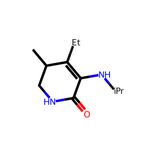 CCC1=C(NC(C)C)C(=O)NCC1C